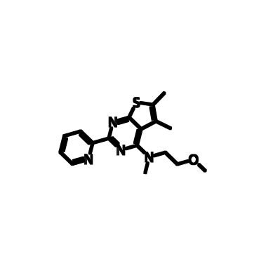 COCCN(C)c1nc(-c2ccccn2)nc2sc(C)c(C)c12